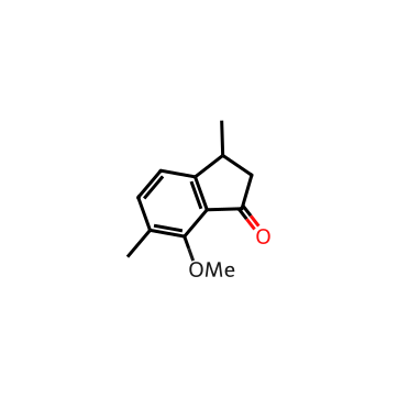 COc1c(C)ccc2c1C(=O)CC2C